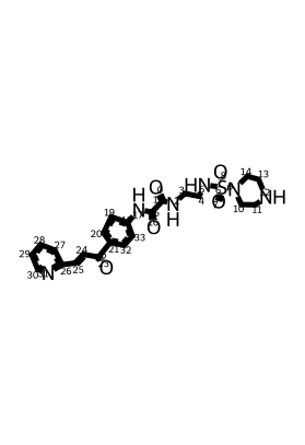 O=C(NCCNS(=O)(=O)N1CCNCC1)C(=O)Nc1ccc(C(=O)C=Cc2ccccn2)cc1